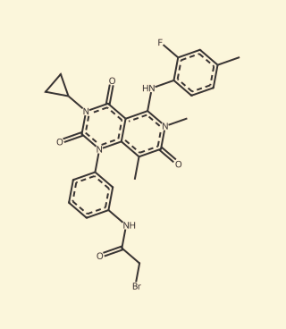 Cc1ccc(Nc2c3c(=O)n(C4CC4)c(=O)n(-c4cccc(NC(=O)CBr)c4)c3c(C)c(=O)n2C)c(F)c1